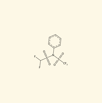 O=S(=O)(C(F)F)N(c1ccccc1)S(=O)(=O)C(F)(F)F